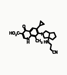 Cc1c(N2CC3CCCC3(NCCC#N)C2)c(C2CC2)cc2c(=O)c(C(=O)O)c[nH]c12